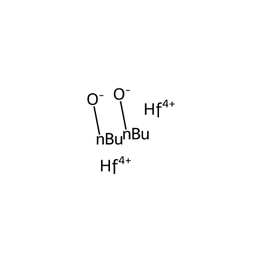 CCCC[O-].CCCC[O-].[Hf+4].[Hf+4]